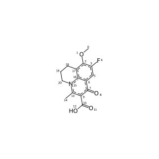 COc1c(F)cc2c(=O)c(C(=O)O)c(C)n3c2c1CCC3